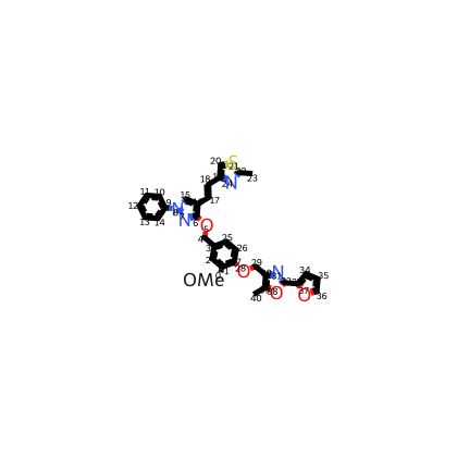 COc1cc(COc2nn(-c3ccccc3)cc2C=Cc2csc(C)n2)ccc1OCc1nc(-c2ccco2)oc1C